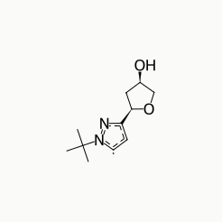 CC(C)(C)n1[c]cc([C@H]2C[C@@H](O)CO2)n1